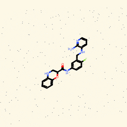 Nc1ncccc1NCc1cc(NC(=O)C2CNc3ccccc3O2)ccc1F